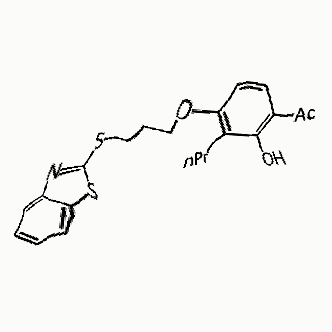 CCCc1c(OCCCSc2nc3ccccc3s2)ccc(C(C)=O)c1O